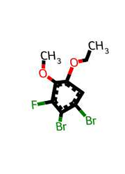 CCOc1cc(Br)c(Br)c(F)c1OC